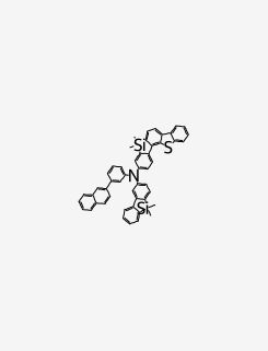 C[Si]1(C)c2ccccc2-c2cc(N(c3cccc(-c4ccc5ccccc5c4)c3)c3ccc4c(c3)[Si](C)(C)c3ccc5c(sc6ccccc65)c3-4)ccc21